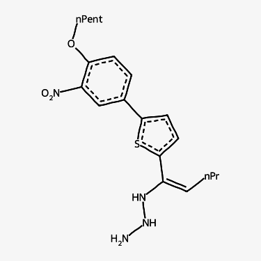 CCC/C=C(/NNN)c1ccc(-c2ccc(OCCCCC)c([N+](=O)[O-])c2)s1